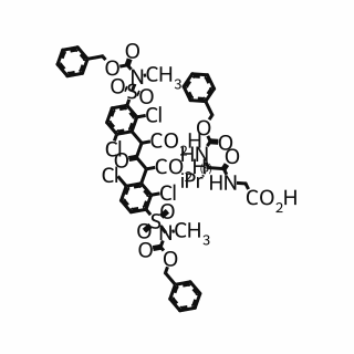 CC(C)[C@H](NC(=O)OCc1ccccc1)C(=O)NCC(=O)O.CN(C(=O)OCc1ccccc1)S(=O)(=O)c1ccc(Cl)c(C(C(=O)O)C(=O)C(C(=O)O)c2c(Cl)ccc(S(=O)(=O)N(C)C(=O)OCc3ccccc3)c2Cl)c1Cl